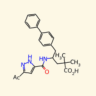 CC(=O)c1cc(C(=O)NC(Cc2ccc(-c3ccccc3)cc2)CC(C)(C)C(=O)O)[nH]n1